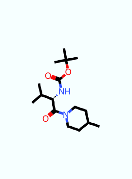 CC1CCN(C(=O)[C@@H](NC(=O)OC(C)(C)C)C(C)C)CC1